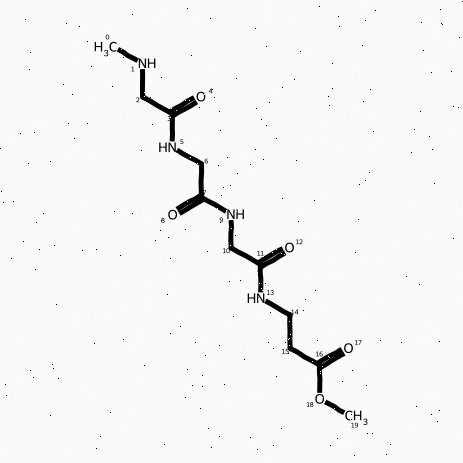 CNCC(=O)NCC(=O)NCC(=O)NCCC(=O)OC